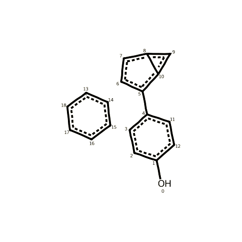 Oc1ccc(-c2ccc3cc2-3)cc1.[c]1ccccc1